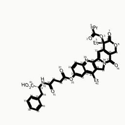 CCCC(=O)O[C@]1(CC)C(=O)OCc2c1cc1n(c2=O)Cc2c-1nc1ccc(OC(=O)CCC(=O)N[C@H](Cc3ccccc3)C(=O)O)cc1c2CC